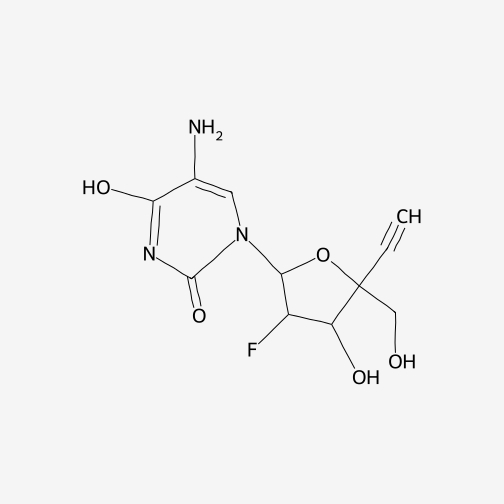 C#CC1(CO)OC(n2cc(N)c(O)nc2=O)C(F)C1O